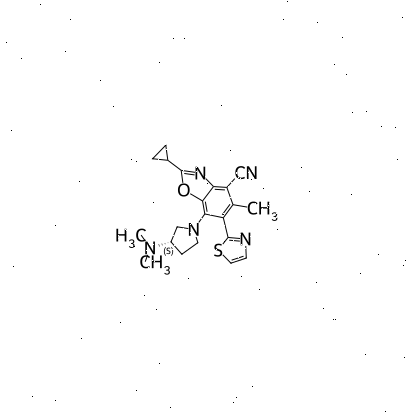 Cc1c(-c2nccs2)c(N2CC[C@H](N(C)C)C2)c2oc(C3CC3)nc2c1C#N